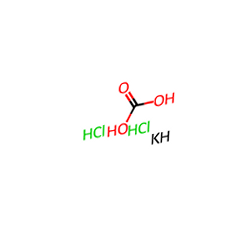 Cl.Cl.O=C(O)O.[KH]